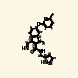 Cc1cccc(Oc2ccc3c(C=N)c(C(=O)NCc4ccn[nH]4)n(C)c3c2)n1